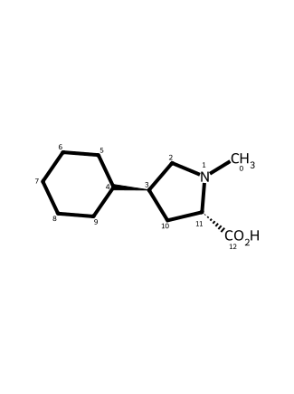 CN1C[C@H](C2CCCCC2)C[C@H]1C(=O)O